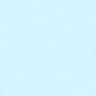 Cc1cc(-c2cncc(-c3cc(S(=O)(=O)N4CC5(CNC5)C4)ccc3C)n2)ccn1